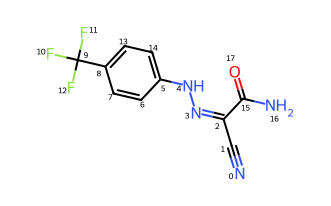 N#C/C(=N/Nc1ccc(C(F)(F)F)cc1)C(N)=O